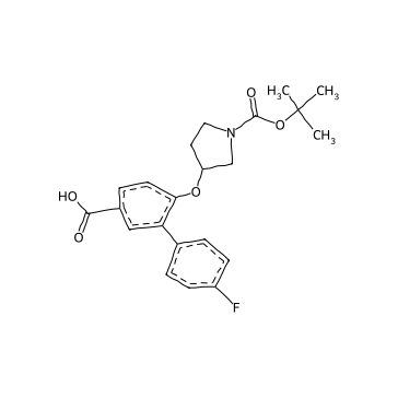 CC(C)(C)OC(=O)N1CCC(Oc2ccc(C(=O)O)cc2-c2ccc(F)cc2)C1